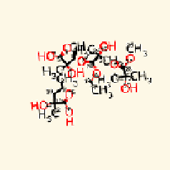 CCC(C)(O)C(=O)O.CCCC(C)(O)C(=O)O.CCOC(=O)C(C)(C)O.COC(=O)C(C)(C)O